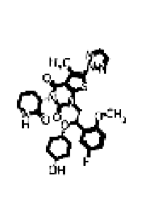 COc1ccc(F)cc1[C@H](Cn1c(=O)n([C@H]2CCCNC2=O)c(=O)c2c(C)c(-n3nccn3)sc21)O[C@H]1CC[C@@H](O)CC1